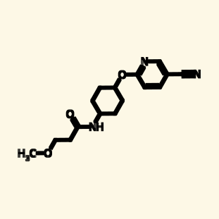 COCCC(=O)NC1CCC(Oc2ccc(C#N)cn2)CC1